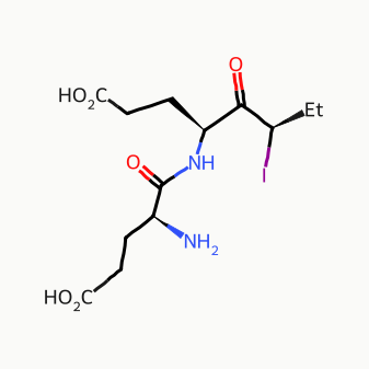 CC[C@@H](I)C(=O)[C@H](CCC(=O)O)NC(=O)[C@@H](N)CCC(=O)O